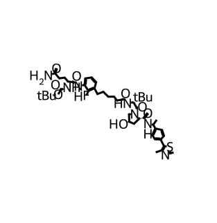 Cc1ncsc1-c1ccc(C(C)NC(=O)[C@@H]2C[C@@H](O)CN2C(=O)C(NC(=O)CCCCCc2cccc(NC(=O)C(CCC(N)=O)NC(=O)OC(C)(C)C)c2F)C(C)(C)C)cc1